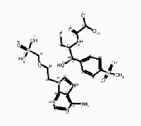 CS(=O)(=O)c1ccc([C@@H](O)[C@@H](CF)NC(=O)C(Cl)Cl)cc1.Nc1ncnc2c1ncn2CCOCP(=O)(O)O